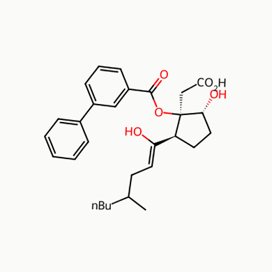 CCCCC(C)CC=C(O)[C@@H]1CC[C@@H](O)[C@]1(CC(=O)O)OC(=O)c1cccc(-c2ccccc2)c1